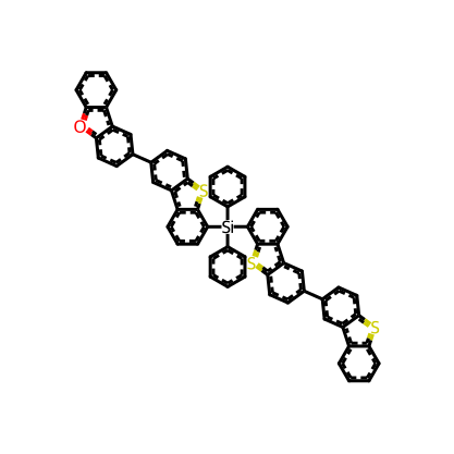 c1ccc([Si](c2ccccc2)(c2cccc3c2sc2ccc(-c4ccc5oc6ccccc6c5c4)cc23)c2cccc3c2sc2ccc(-c4ccc5sc6ccccc6c5c4)cc23)cc1